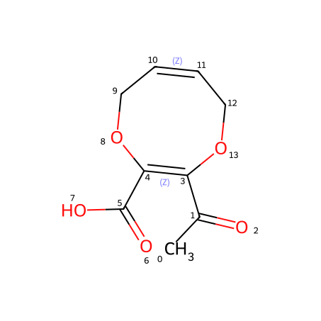 CC(=O)/C1=C(\C(=O)O)OC/C=C\CO1